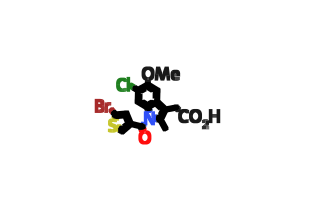 COc1cc2c(CC(=O)O)c(C)n(C(=O)c3csc(Br)c3)c2cc1Cl